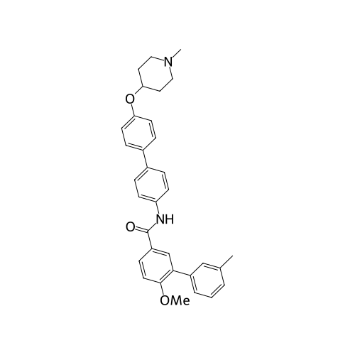 COc1ccc(C(=O)Nc2ccc(-c3ccc(OC4CCN(C)CC4)cc3)cc2)cc1-c1cccc(C)c1